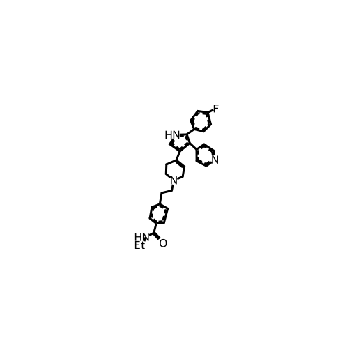 CCNC(=O)c1ccc(CCN2CC=C(c3c[nH]c(-c4ccc(F)cc4)c3-c3ccncc3)CC2)cc1